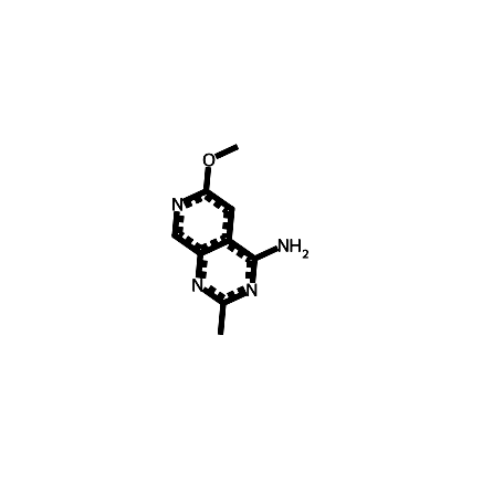 COc1cc2c(N)nc(C)nc2cn1